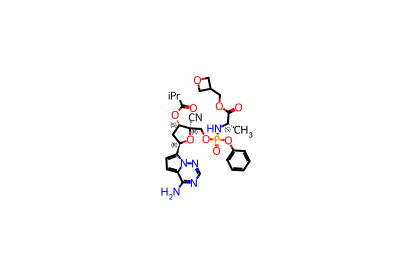 CC(C)C(=O)O[C@H]1C[C@H](c2ccc3c(N)ncnn23)O[C@]1(C#N)COP(=O)(N[C@@H](C)C(=O)OCC1COC1)Oc1ccccc1